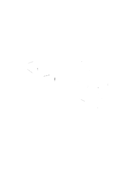 O=C(/C=C/c1ccccc1)OCC1OC(O[C@@H]2OC=CC3C2[C@]2(CO)O[C@H]2[C@H]3O)C(O)C(O)C1O